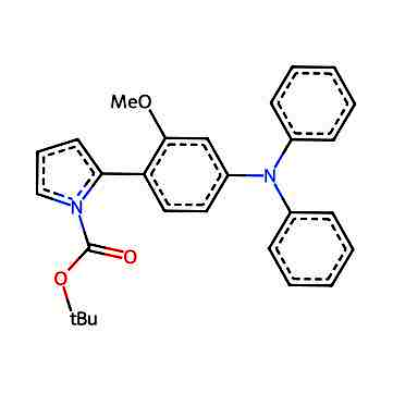 COc1cc(N(c2ccccc2)c2ccccc2)ccc1-c1cccn1C(=O)OC(C)(C)C